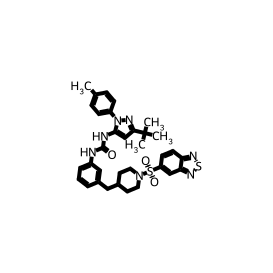 Cc1ccc(-n2nc(C(C)(C)C)cc2NC(=O)Nc2cccc(CC3CCN(S(=O)(=O)c4ccc5nsnc5c4)CC3)c2)cc1